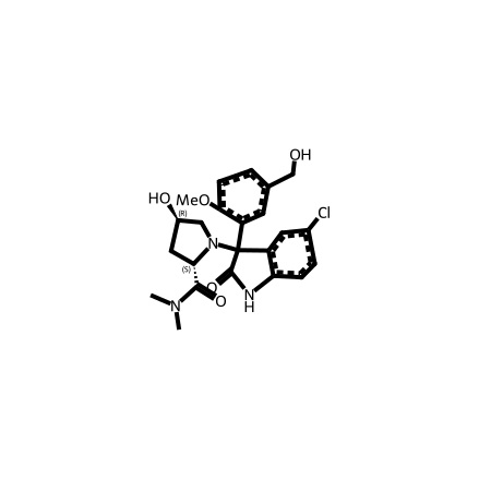 COc1ccc(CO)cc1C1(N2C[C@H](O)C[C@H]2C(=O)N(C)C)C(=O)Nc2ccc(Cl)cc21